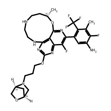 Cc1c(F)c(N)cc(-c2nc3c4c(nc(OCCCN5C[C@@H]6C[C@H]5CO6)nc4c2F)NCCNCC[C@H](C)O3)c1C(F)(F)F